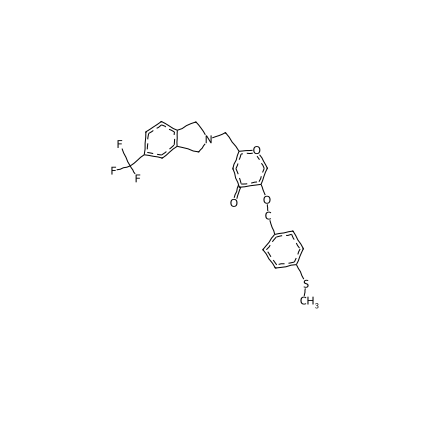 CSc1ccc(COc2coc(CN3Cc4ccc(C(F)(F)F)cc4C3)cc2=O)cc1